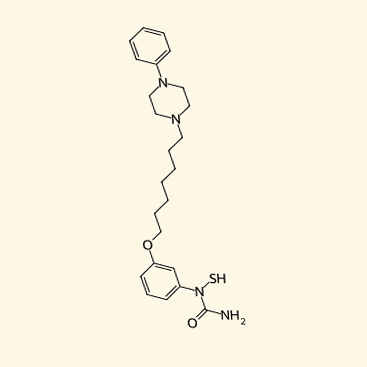 NC(=O)N(S)c1cccc(OCCCCCCCN2CCN(c3ccccc3)CC2)c1